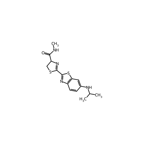 CNC(=O)C1CSC(c2nc3ccc(NC(C)C)cc3s2)=N1